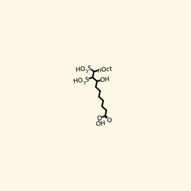 CCCCCCCCC(C(C(O)CCCCCCC(=O)OO)S(=O)(=O)O)S(=O)(=O)O